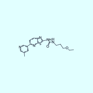 CCOCCCNC(=O)Nc1nc2ccc(-c3cncc(C)c3)nc2s1